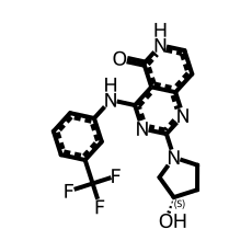 O=c1[nH]ccc2nc(N3CC[C@H](O)C3)nc(Nc3cccc(C(F)(F)F)c3)c12